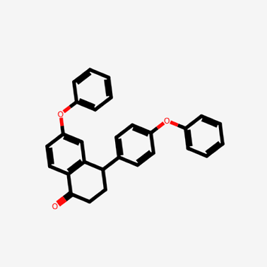 O=C1CCC(c2ccc(Oc3ccccc3)cc2)c2cc(Oc3ccccc3)ccc21